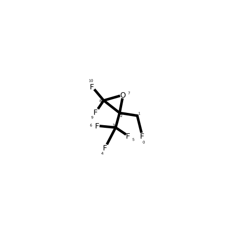 FCC1(C(F)(F)F)OC1(F)F